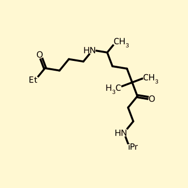 CCC(=O)CCCNC(C)CCC(C)(C)C(=O)CCNC(C)C